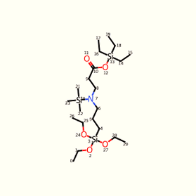 CCO[Si](CCCN(CCC(=O)O[Si](CC)(CC)CC)[Si](C)(C)C)(OCC)OCC